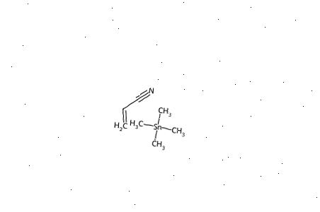 C=CC#N.[CH3][Sn]([CH3])([CH3])[CH3]